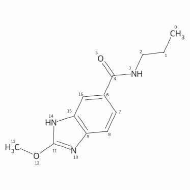 CCCNC(=O)c1ccc2nc(OC)[nH]c2c1